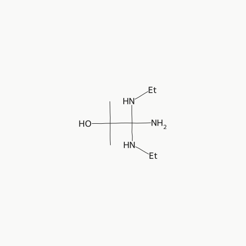 CCNC(N)(NCC)C(C)(C)O